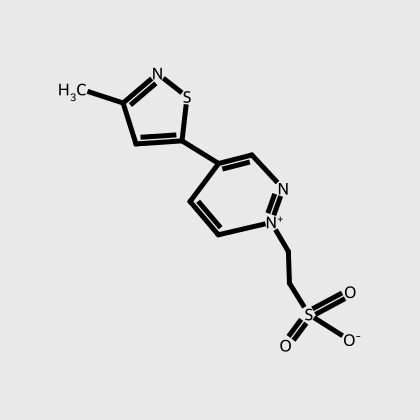 Cc1cc(-c2cc[n+](CCS(=O)(=O)[O-])nc2)sn1